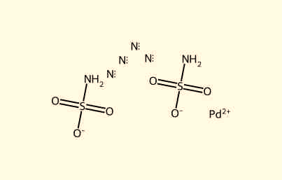 NS(=O)(=O)[O-].NS(=O)(=O)[O-].[N].[N].[N].[N].[Pd+2]